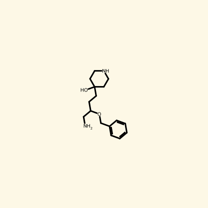 NCC(CCC1(O)CCNCC1)OCc1ccccc1